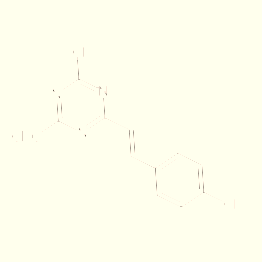 Cc1ccc(C=Cc2nc(C)nc(C(Cl)(Cl)Cl)n2)cc1